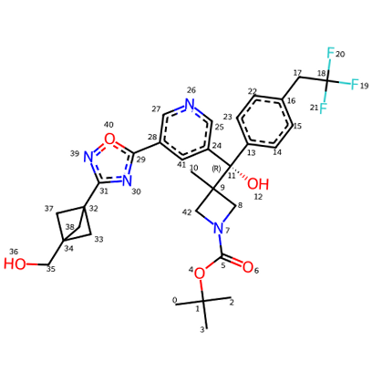 CC(C)(C)OC(=O)N1CC(C)([C@](O)(c2ccc(CC(F)(F)F)cc2)c2cncc(-c3nc(C45CC(CO)(C4)C5)no3)c2)C1